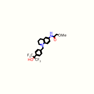 COCC(=O)Nc1ccc2c(c1)CCCN2Cc1ccc(C(O)(C(F)(F)F)C(F)(F)F)cc1